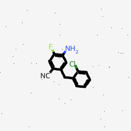 N#Cc1cc(F)c(N)cc1Cc1ccccc1Cl